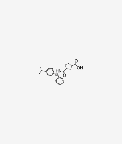 CC(C)c1ccc([C@@H](NC(=O)C2CCC(C(=O)O)C2)c2ccccc2)cc1